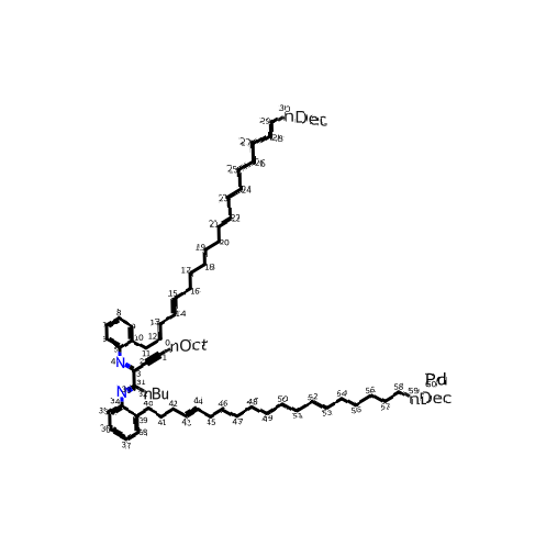 CCCCCCCCC#CC(=Nc1ccccc1CCCC=CCCCCCCCCCCCCCCCCCCCCCCCC)C(CCCC)=Nc1ccccc1CCCC=CCCCCCCCCCCCCCCCCCCCCCCCC.[Pd]